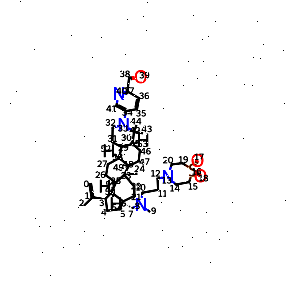 C=C(C)[C@@H]1CC[C@]2(CN(C)CCCN3CCS(=O)(=O)CC3)CC[C@]3(C)[C@H](CC[C@@H]4[C@@]5(C)CCN(c6ccc(C=O)nc6)C(C)(C)[C@@H]5CC[C@]43C)[C@@H]12